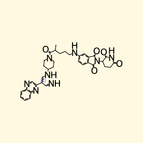 CC(CCCNc1ccc2c(c1)C(=O)N(C1CCC(=O)NC1=O)C2=O)C(=O)N1CCC(N/C=C(\C=N)c2cnc3ccccc3n2)CC1